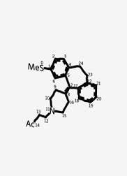 CSc1ccc2c(c1)C(=C1CCN(CCC(C)=O)CC1)c1ccccc1CC2